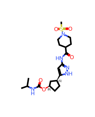 CC(C)NC(=O)O[C@@H]1CC[C@H](c2cc(NC(=O)C3CCN(S(C)(=O)=O)CC3)n[nH]2)C1